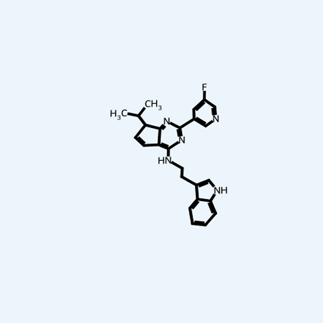 CC(C)C1C=Cc2c(NCCc3c[nH]c4ccccc34)nc(-c3cncc(F)c3)nc21